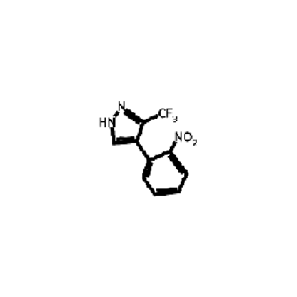 O=[N+]([O-])c1ccccc1-c1c[nH]nc1C(F)(F)F